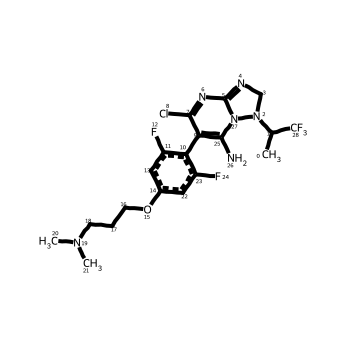 CC(N1CN=C2N=C(Cl)C(c3c(F)cc(OCCCN(C)C)cc3F)=C(N)N21)C(F)(F)F